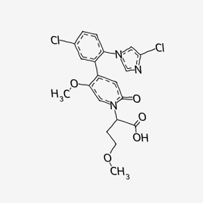 COCCC(C(=O)O)n1cc(OC)c(-c2cc(Cl)ccc2-n2cnc(Cl)c2)cc1=O